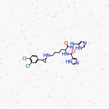 O=C(NC(CCCCNC1CC1c1ccc(Cl)c(Cl)c1)C(=O)NCc1cnc[nH]1)c1cnc[nH]1